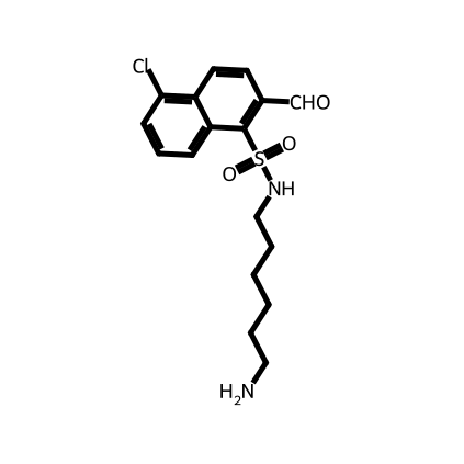 NCCCCCCNS(=O)(=O)c1c(C=O)ccc2c(Cl)cccc12